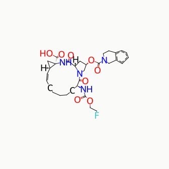 O=C(N[C@H]1CCCCCC=C[C@@H]2C[C@@]2(C(=O)O)NC(=O)[C@@H]2C[C@@H](OC(=O)N3CCc4ccccc4C3)CN2C1=O)OCCF